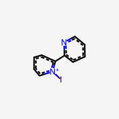 I[n+]1ccccc1-c1ccccn1